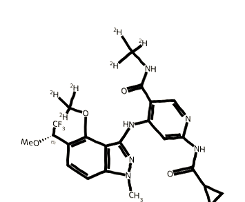 [2H]C([2H])([2H])NC(=O)c1cnc(NC(=O)C2CC2)cc1Nc1nn(C)c2ccc([C@H](OC)C(F)(F)F)c(OC([2H])([2H])[2H])c12